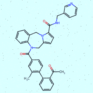 CC(=O)c1ccccc1-c1ccc(C(=O)N2Cc3ccc(C(=O)NCc4cccnc4)n3Cc3ccccc32)cc1C